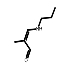 CCCNC=C(C)C=O